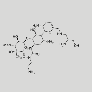 CN[C@@H]1[C@@H](O)[C@@H](O[C@H]2[C@H](NC(=O)N(O)CCN)C[C@H](N)C([C@H]3OC(CNCC(N)CO)=CC[C@H]3N)[C@@H]2O)OC[C@]1(C)O